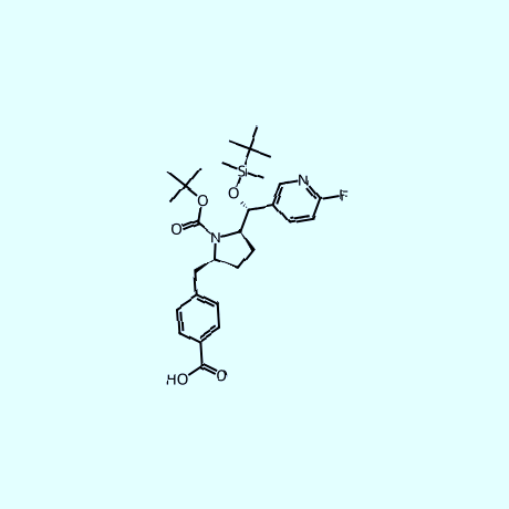 CC(C)(C)OC(=O)N1[C@H](Cc2ccc(C(=O)O)cc2)CC[C@@H]1[C@H](O[Si](C)(C)C(C)(C)C)c1ccc(F)nc1